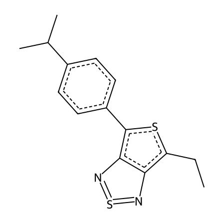 CCc1sc(-c2ccc(C(C)C)cc2)c2c1N=S=N2